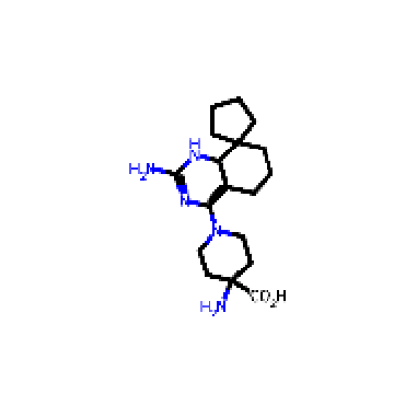 NC1=NC(N2CCC(N)(C(=O)O)CC2)=C2CCCC3(CCCC3)C2N1